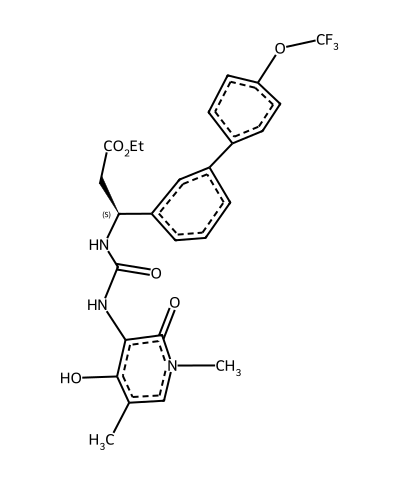 CCOC(=O)C[C@H](NC(=O)Nc1c(O)c(C)cn(C)c1=O)c1cccc(-c2ccc(OC(F)(F)F)cc2)c1